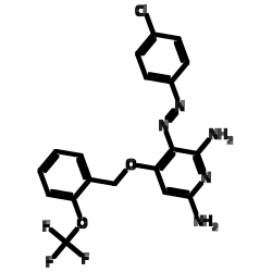 Nc1cc(OCc2ccccc2OC(F)(F)F)c(N=Nc2ccc(Cl)cc2)c(N)n1